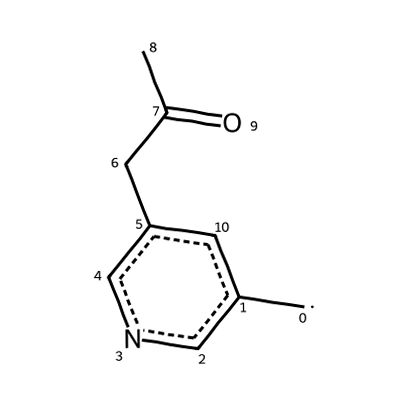 [CH2]c1cncc(CC(C)=O)c1